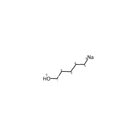 OCCCC[CH2][Na]